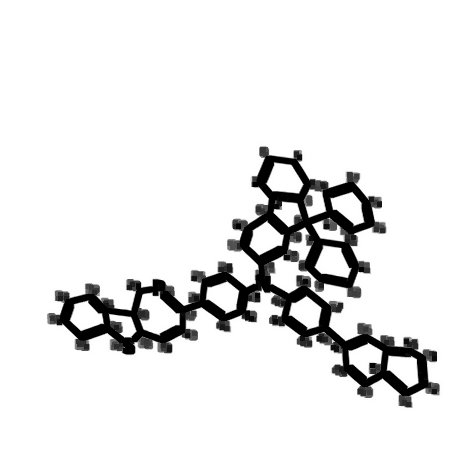 C1=CC2=C(CC1)C(c1ccccc1)(c1ccccc1)c1cc(N(c3ccc(C4=PCC5c6ccccc6SC5C=C4)cc3)c3ccc(-c4ccc5ccccc5c4)cc3)ccc12